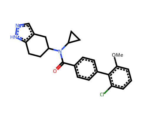 COc1cccc(Cl)c1-c1ccc(C(=O)N(C2CC2)C2CCc3[nH]ncc3C2)cc1